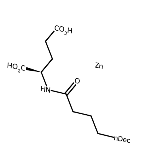 CCCCCCCCCCCCCC(=O)N[C@H](CCC(=O)O)C(=O)O.[Zn]